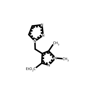 CCOC(=O)c1nn(C)c(C)c1Cn1ccnn1